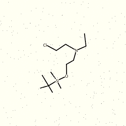 CCN(CCCl)CCO[Si](C)(C)C(C)(C)C